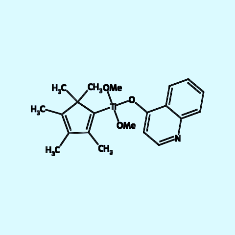 C[O][Ti]([O]C)([O]c1ccnc2ccccc12)[C]1=C(C)C(C)=C(C)C1(C)C